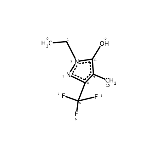 CCn1nc(C(F)(F)F)c(C)c1O